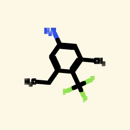 CCc1cc(N)cc(C)c1C(F)(F)F